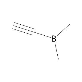 C#CB(C)C